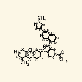 CC(=O)N1CCc2c(c(-c3cccc4cc(-c5cnn(C)c5)ncc34)nn2C2CCN(CC3C(C)CNCC3C)CC2)C1